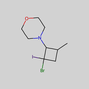 CC1CC(Br)(I)C1N1CCOCC1